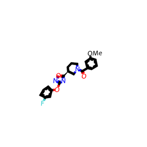 COc1cccc(C(=O)N2CCC[C@H](c3nc(Oc4cccc(F)c4)no3)C2)c1